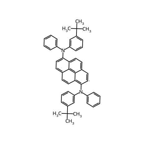 CC(C)(C)c1cccc(N(c2ccccc2)c2[c]cc3ccc4c(N(c5ccccc5)c5cccc(C(C)(C)C)c5)ccc5ccc2c3c54)c1